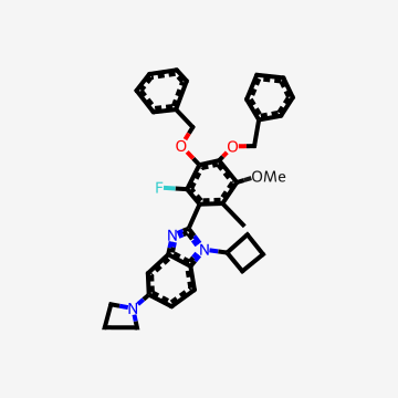 COc1c(C)c(-c2nc3cc(N4CCC4)ccc3n2C2CCC2)c(F)c(OCc2ccccc2)c1OCc1ccccc1